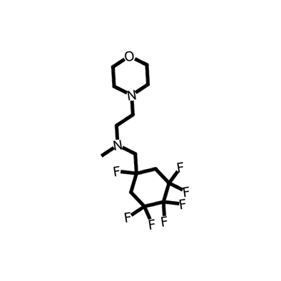 CN(CCN1CCOCC1)CC1(F)CC(F)(F)C(F)(F)C(F)(F)C1